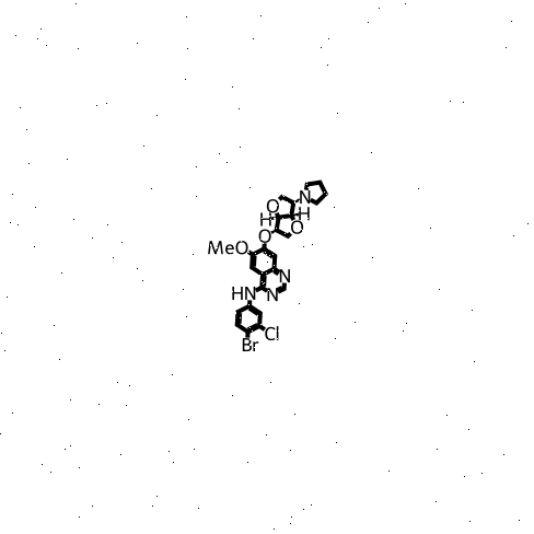 COc1cc2c(Nc3ccc(Br)c(Cl)c3)ncnc2cc1O[C@@H]1CO[C@@H]2[C@H]1OC[C@H]2N1CCCC1